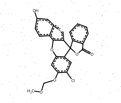 COCOc1cc2c(cc1Cl)C1(OC(=O)c3ccccc31)c1ccc3cc(O)ccc3c1O2